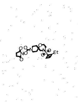 CC[C@H]1C2CC21S(=O)(=O)N1CCOC2(CCN(C(=O)ON3C(=O)CCC3=O)CC2)C1